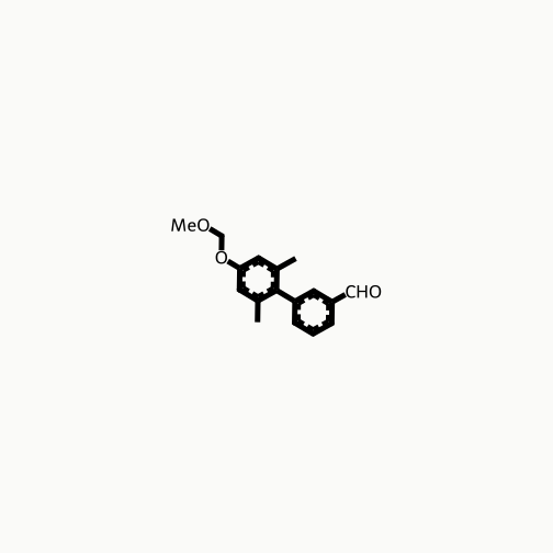 COCOc1cc(C)c(-c2cccc(C=O)c2)c(C)c1